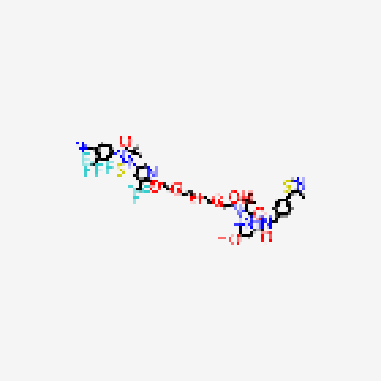 Cc1ncsc1-c1ccc(CNC(=O)[C@@H]2C[C@@H](O)CN2C(=O)[C@@H](NC(O)COCCOCCOCCOc2ncc(N3C(=S)N(c4ccc(C#N)c(C(F)(F)F)c4F)C(=O)C3(C)C)cc2C(F)(F)F)C(C)(C)C)cc1